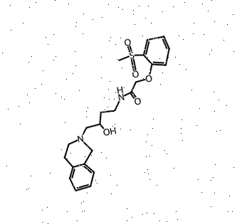 CS(=O)(=O)c1ccccc1OCC(=O)NCCC(O)CN1CCc2ccccc2C1